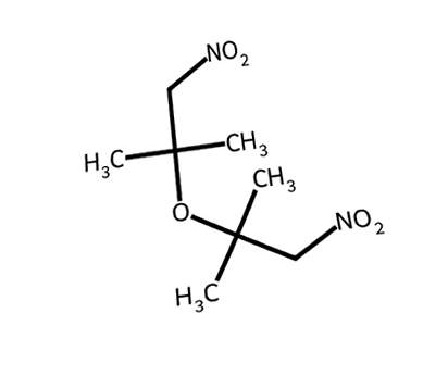 CC(C)(C[N+](=O)[O-])OC(C)(C)C[N+](=O)[O-]